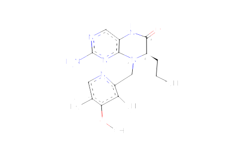 CCC[C@@H]1C(=O)Nc2cnc(N)nc2N1Cc1ncc(C)c(OC)c1C